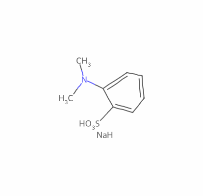 CN(C)c1ccccc1S(=O)(=O)O.[NaH]